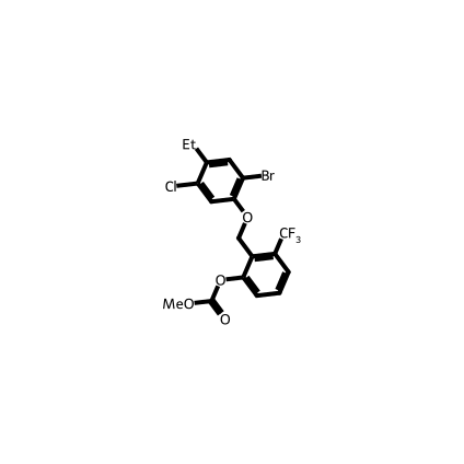 CCc1cc(Br)c(OCc2c(OC(=O)OC)cccc2C(F)(F)F)cc1Cl